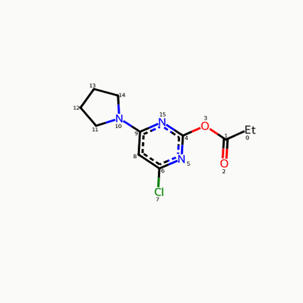 CCC(=O)Oc1nc(Cl)cc(N2CCCC2)n1